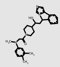 Cc1ccc(N(C)CC(=O)N2CCC(C(O)CC3c4ccccc4-c4cncn43)CC2)cc1C